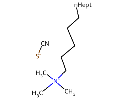 CCCCCCCCCCCC[N+](C)(C)C.N#C[S-]